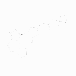 CC[C@@H]1C[C@H](OC(=O)NC2(C)COC2)C[C@@H]1c1nnc2n1C1C=CNC1N=C2